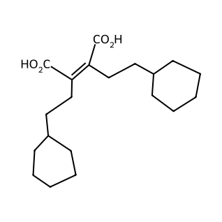 O=C(O)/C(CCC1CCCCC1)=C(/CCC1CCCCC1)C(=O)O